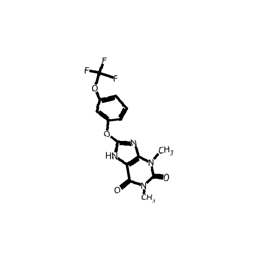 Cn1c(=O)c2[nH]c(Oc3cccc(OC(F)(F)F)c3)nc2n(C)c1=O